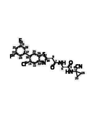 N#CC1(NC(=O)CNC(=O)Cc2nc3cc(Cl)c(-c4cc(F)cc(F)c4)cc3s2)CC1